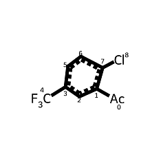 CC(=O)c1cc(C(F)(F)F)ccc1Cl